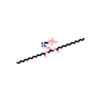 CCCCCCCCCCCCCC(=O)OCC(COC(=O)CCCCCCCCCCCCC)OO.C[N+](C)(C)CCOP(=O)([O-])O